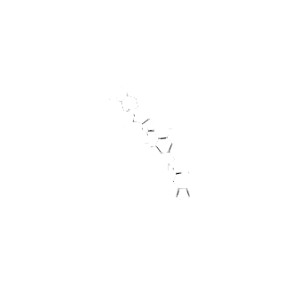 O=C(Cc1ccsc1)NCc1cc(F)c(-c2nc(C(=O)N3CCC(O)C(O)C3)co2)c(F)c1